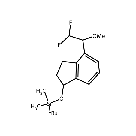 COC(c1cccc2c1CCC2O[Si](C)(C)C(C)(C)C)C(F)F